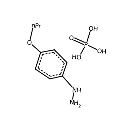 CCCOc1ccc(NN)cc1.O=P(O)(O)O